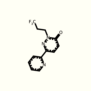 O=c1ccc(-c2ccccn2)nn1CCC(F)(F)F